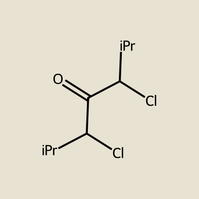 CC(C)C(Cl)C(=O)C(Cl)C(C)C